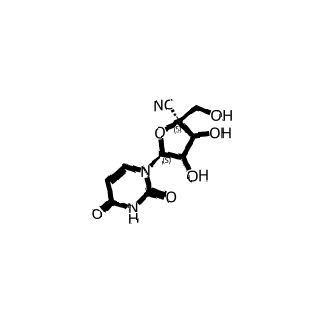 N#C[C@@]1(CO)O[C@H](n2ccc(=O)[nH]c2=O)C(O)C1O